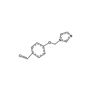 O=Cc1ccc(OCn2ccnc2)cc1